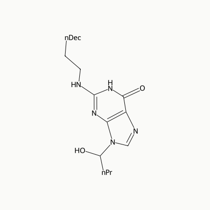 CCCCCCCCCCCCNc1nc2c(ncn2C(O)CCC)c(=O)[nH]1